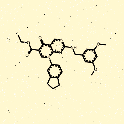 CCOC(=O)c1cn(-c2ccc3c(c2)CCC3)c2nc(NCc3cc(OC)cc(OC)c3)ncc2c1=O